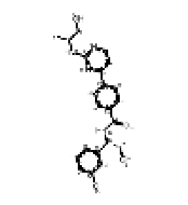 C[C@@H](CO)Nc1nccc(-c2ccc(C(=O)N[C@H](CO)c3cccc(Cl)c3)cc2)n1